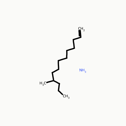 C=CCCCCCCCC(C)CCC.N